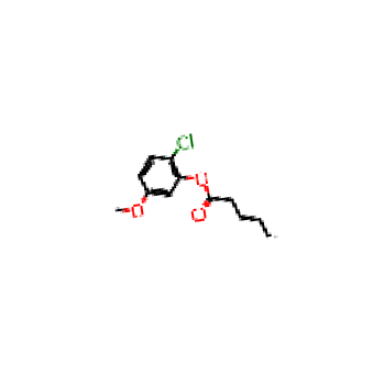 [CH2]CCCC(=O)Oc1cc(OC)ccc1Cl